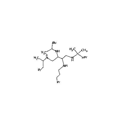 CCCC(C)(C)NC[C](NCCCC(C)C)C(CNC(C)CC(C)C)NC(C)C(C)CC